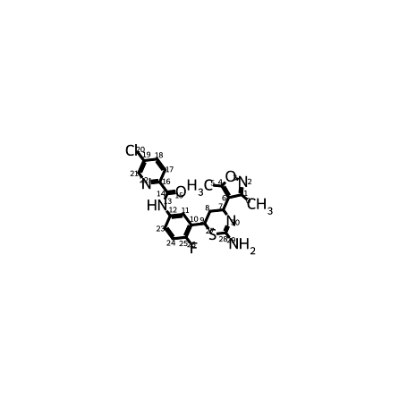 Cc1noc(C)c1C1CC(c2cc(NC(=O)c3ccc(Cl)cn3)ccc2F)SC(N)=N1